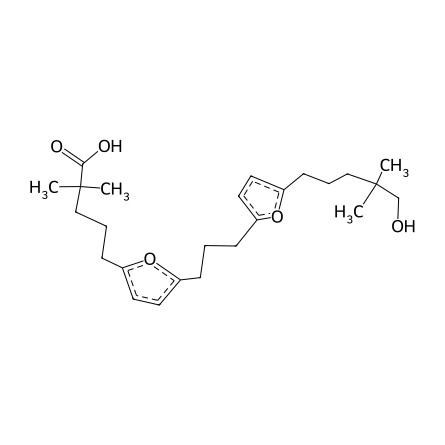 CC(C)(CO)CCCc1ccc(CCCc2ccc(CCCC(C)(C)C(=O)O)o2)o1